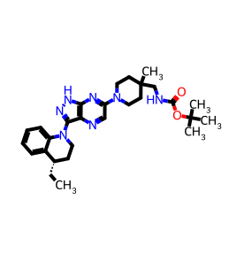 CC[C@H]1CCN(c2n[nH]c3nc(N4CCC(C)(CNC(=O)OC(C)(C)C)CC4)cnc23)c2ccccc21